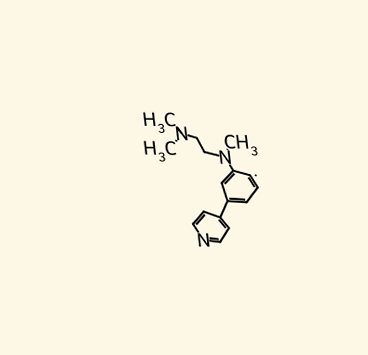 CN(C)CCN(C)c1[c]ccc(-c2ccncc2)c1